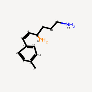 Cc1ccc(/C=C\C(P)CCCN)cc1